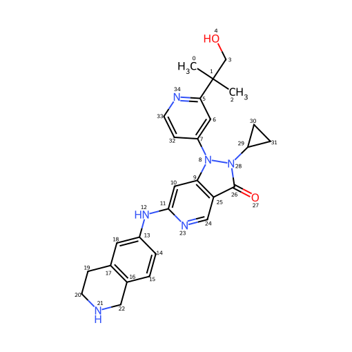 CC(C)(CO)c1cc(-n2c3cc(Nc4ccc5c(c4)CCNC5)ncc3c(=O)n2C2CC2)ccn1